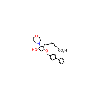 O=C(O)CC/C=C\CC[C@@H]1[C@@H](N2CCCOCC2)[C@H](O)C[C@@H]1OCc1ccc(-c2ccccc2)cc1